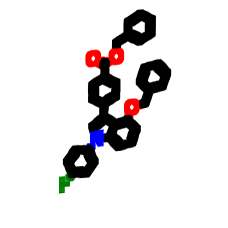 O=C(OCc1ccccc1)c1ccc(-c2cn(-c3ccc(F)cc3)c3cccc(OCc4ccccc4)c23)cc1